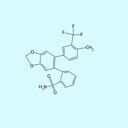 Cc1ccc(-c2cc3c(cc2-c2ccccc2S(N)(=O)=O)OCO3)cc1C(F)(F)F